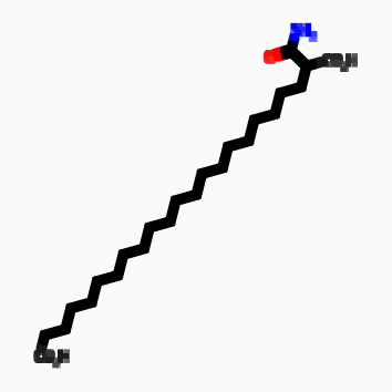 NC(=O)C(CCCCCCCCCCCCCCCCCCCCC(=O)O)C(=O)O